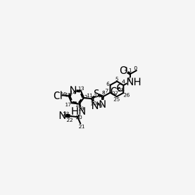 CC(=O)NC12CCC(c3nnc(-c4cnc(Cl)cc4NC(C)C#N)s3)(CC1)CC2